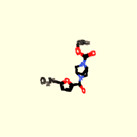 CC(C)(C)OC(=O)N1CC2CC1CN2C(=O)c1ccc([N+](=O)[O-])o1